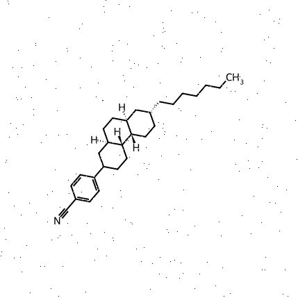 CCCCCCC[C@@H]1CC[C@H]2[C@@H](CC[C@@H]3CC(c4ccc(C#N)cc4)CC[C@H]32)C1